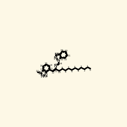 CCCCCCCCCCCC(=Cc1cccc2c1nnn2C)N=Cn1nnc2ccccc21